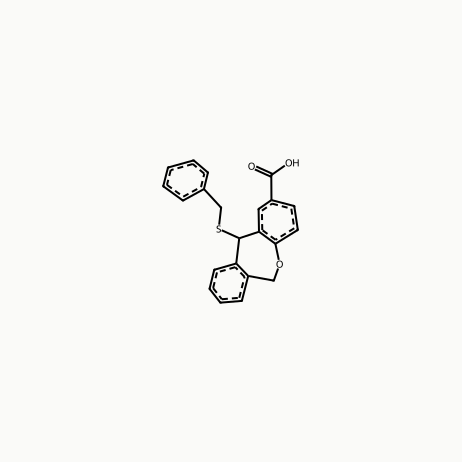 O=C(O)c1ccc2c(c1)C(SCc1ccccc1)c1ccccc1CO2